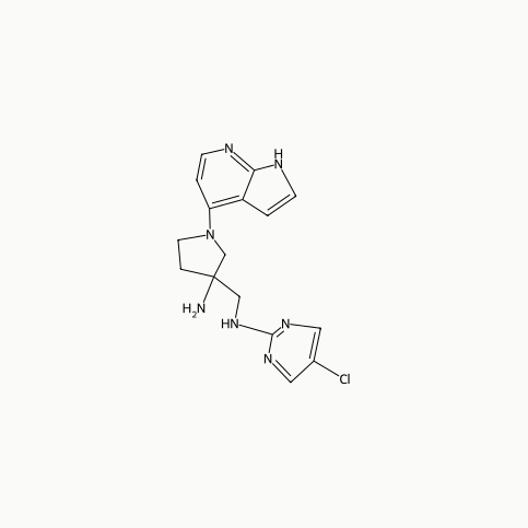 NC1(CNc2ncc(Cl)cn2)CCN(c2ccnc3[nH]ccc23)C1